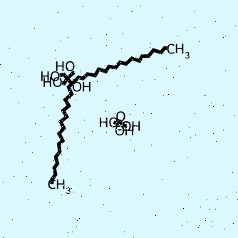 CCCCCCCCCCCCCCCCCCC(O)(CCCCCCCCCCCCCCCCCC)C(CO)(CO)CO.O=P(O)(O)O